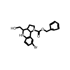 O=C(OCc1ccccc1)N1CCC2C(CO)Nc3ccc(Br)cc3C21